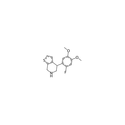 COc1cc(F)c(C2CNCc3sccc32)cc1OC